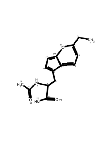 CCc1ccc2c(CC(NC(C)=O)C(=O)O)ccc-2o1